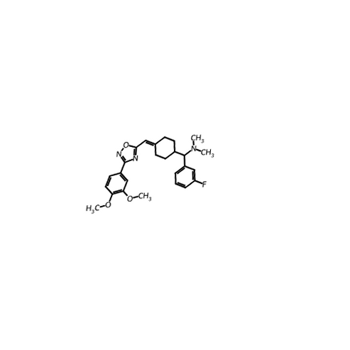 COc1ccc(-c2noc(C=C3CCC(C(c4cccc(F)c4)N(C)C)CC3)n2)cc1OC